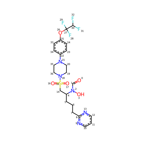 O=CN(O)C(CCCc1ncccn1)CS(=O)(=O)N1CCN(c2ccc(OC(F)(F)C(F)F)cc2)CC1